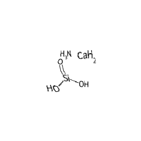 N.O=[Si](O)O.[CaH2]